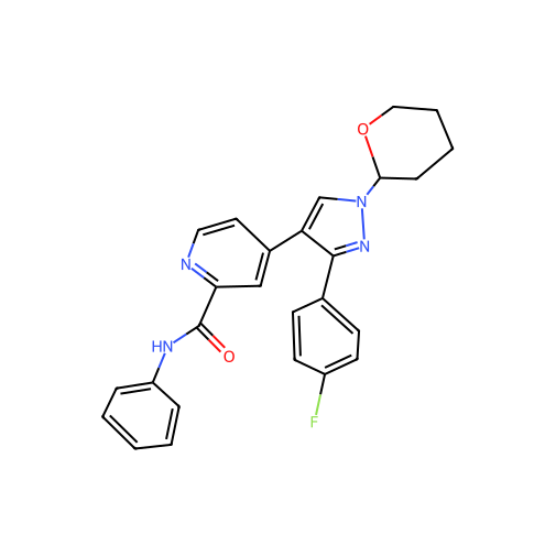 O=C(Nc1ccccc1)c1cc(-c2cn(C3CCCCO3)nc2-c2ccc(F)cc2)ccn1